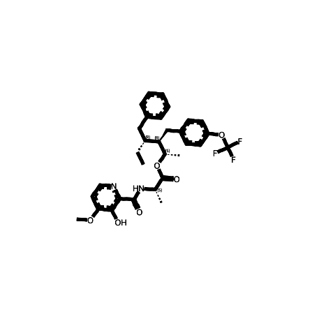 CC[C@H](Cc1ccccc1)[C@@H](Cc1ccc(OC(F)(F)F)cc1)[C@H](C)OC(=O)[C@H](C)NC(=O)c1nccc(OC)c1O